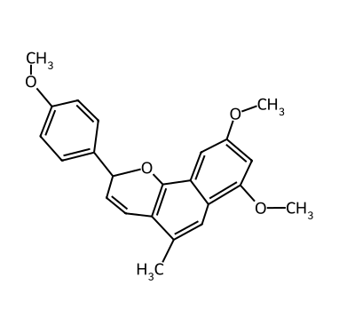 COc1ccc(C2C=Cc3c(C)cc4c(OC)cc(OC)cc4c3O2)cc1